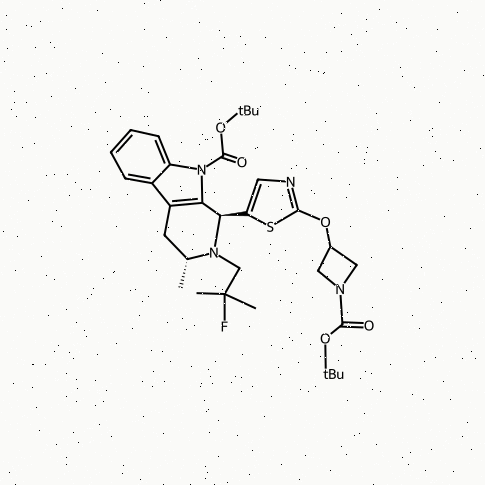 C[C@@H]1Cc2c(n(C(=O)OC(C)(C)C)c3ccccc23)[C@@H](c2cnc(OC3CN(C(=O)OC(C)(C)C)C3)s2)N1CC(C)(C)F